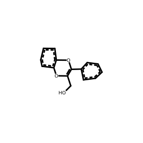 OCC1=C(c2ccccc2)Oc2ccccc2O1